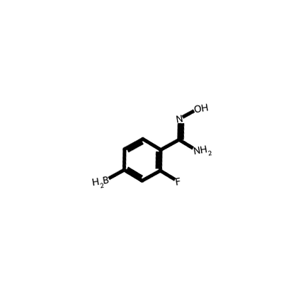 Bc1ccc(/C(N)=N/O)c(F)c1